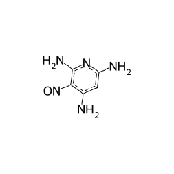 Nc1cc(N)c(N=O)c(N)n1